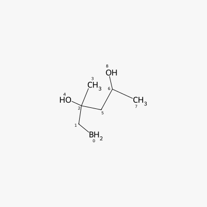 BCC(C)(O)CC(C)O